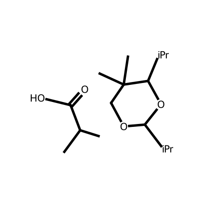 CC(C)C(=O)O.CC(C)C1OCC(C)(C)C(C(C)C)O1